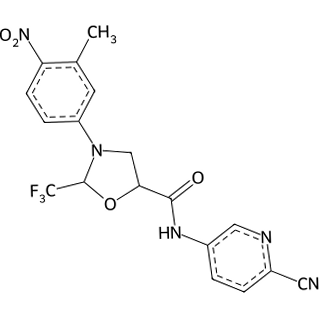 Cc1cc(N2CC(C(=O)Nc3ccc(C#N)nc3)OC2C(F)(F)F)ccc1[N+](=O)[O-]